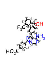 CC(O)(c1ccc(-c2nc(C34CCC(C(=O)O)(CC3)CC4)n3ccnc(N)c23)cc1)c1cccc(C(F)(F)F)c1